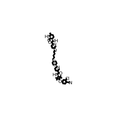 C=C1CCC(NC(=O)c2ccc(OCCCCCN3CCN(c4ccc(C(=O)N[C@H]5C(C)(C)[C@H](Oc6ccc(C#N)c(Cl)c6)C5(C)C)cn4)CC3)cn2)C(=O)N1